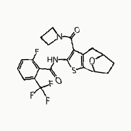 O=C(Nc1sc2c(c1C(=O)N1CCC1)CC1CCC2O1)c1c(F)cccc1C(F)(F)F